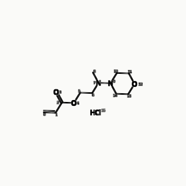 C=CC(=O)OCCN(C)N1CCOCC1.Cl